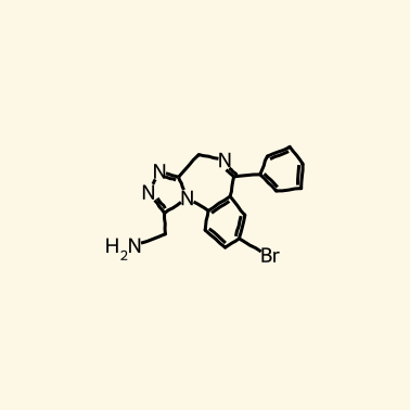 NCc1nnc2n1-c1ccc(Br)cc1C(c1ccccc1)=NC2